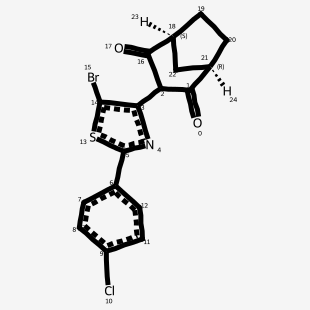 O=C1C(c2nc(-c3ccc(Cl)cc3)sc2Br)C(=O)[C@H]2CC[C@@H]1C2